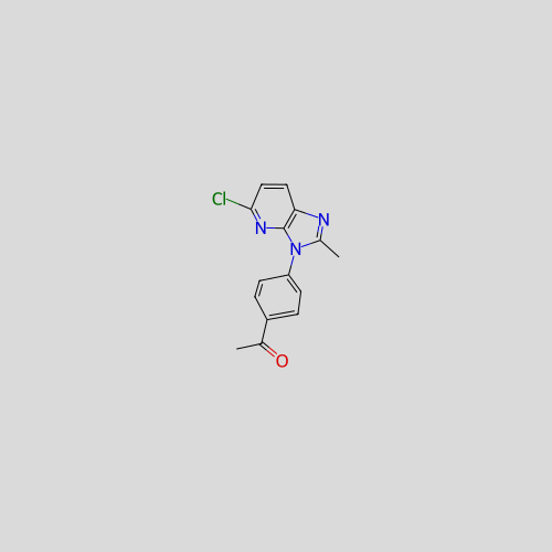 CC(=O)c1ccc(-n2c(C)nc3ccc(Cl)nc32)cc1